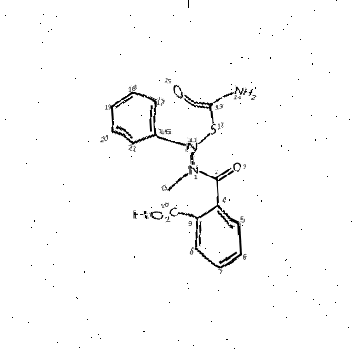 CN(C(=O)c1ccccc1C(=O)O)N(SC(N)=O)c1ccccc1